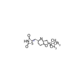 C[Si](C)(C)c1cc2nc(/C=C3\SC(=O)NC3=O)ccc2o1